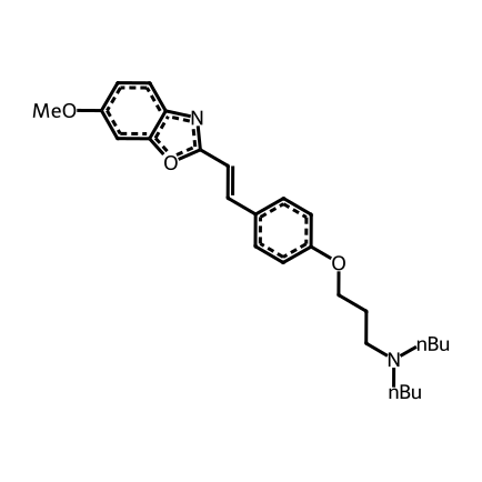 CCCCN(CCCC)CCCOc1ccc(C=Cc2nc3ccc(OC)cc3o2)cc1